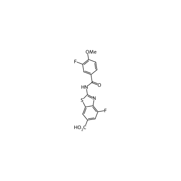 COc1ccc(C(=O)Nc2nc3c(F)cc(C(=O)O)cc3s2)cc1F